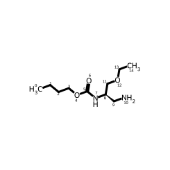 CCCCOC(=O)N[C@H](CN)COCC